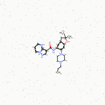 CCCN1CCN(c2cc3c(cc2NC(=O)c2cnn4cccnc24)CC(C)(C)O3)CC1